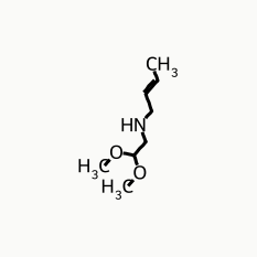 C/C=C/CNCC(OC)OC